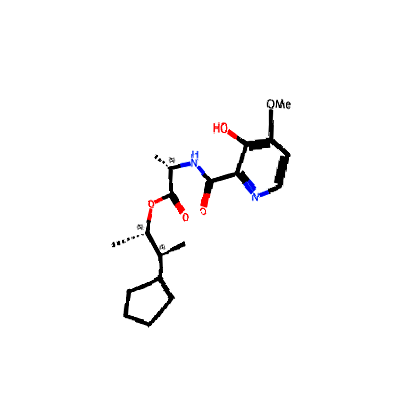 COc1ccnc(C(=O)N[C@@H](C)C(=O)O[C@@H](C)[C@@H](C)C2CCCC2)c1O